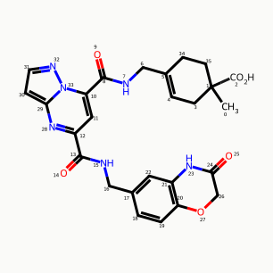 CC1(C(=O)O)CC=C(CNC(=O)c2cc(C(=O)NCc3ccc4c(c3)NC(=O)CO4)nc3ccnn23)CC1